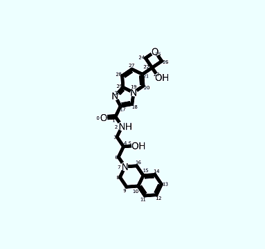 O=C(NCC(O)CN1CCc2ccccc2C1)c1cn2cc(C3(O)COC3)ccc2n1